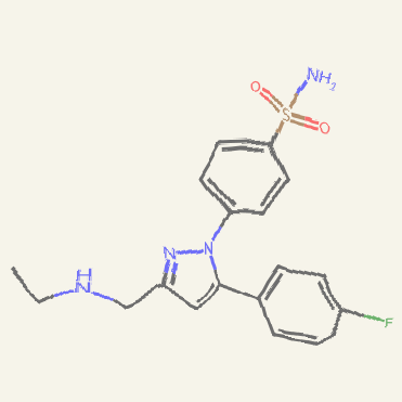 CCNCc1cc(-c2ccc(F)cc2)n(-c2ccc(S(N)(=O)=O)cc2)n1